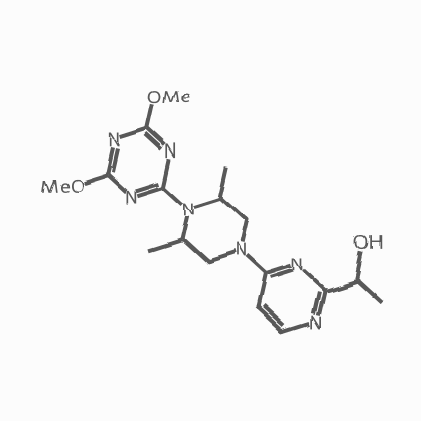 COc1nc(OC)nc(N2C(C)CN(c3ccnc(C(C)O)n3)CC2C)n1